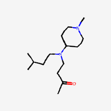 CC(=O)CCN(CCC(C)C)C1CCN(C)CC1